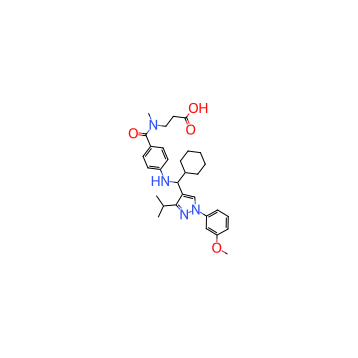 COc1cccc(-n2cc(C(Nc3ccc(C(=O)N(C)CCC(=O)O)cc3)C3CCCCC3)c(C(C)C)n2)c1